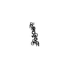 O=C1OC2(CCN(C(=O)C3(c4ccc(-n5ccc(C(F)(F)F)n5)cc4)CC3)C2)c2ccncc21